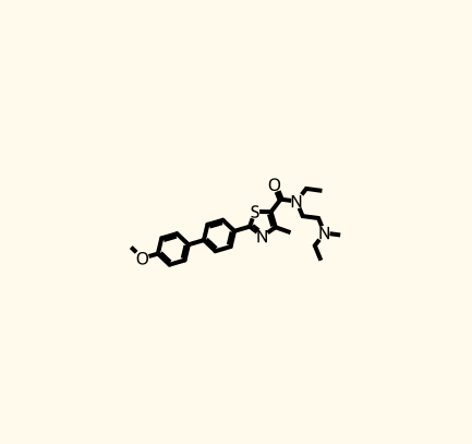 CCN(C)CCN(CC)C(=O)c1sc(-c2ccc(-c3ccc(OC)cc3)cc2)nc1C